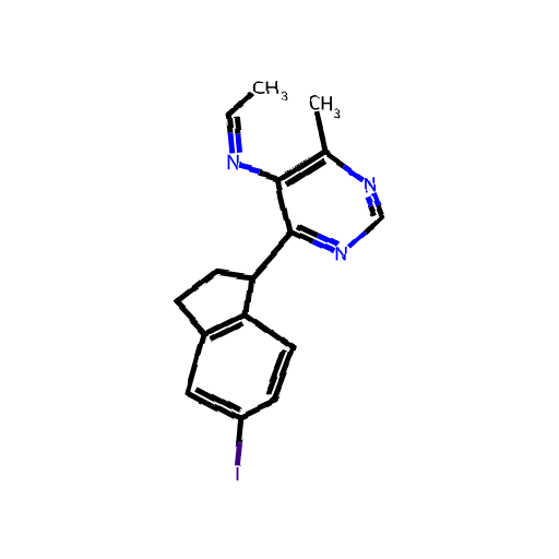 C/C=N\c1c(C)ncnc1C1CCc2cc(I)ccc21